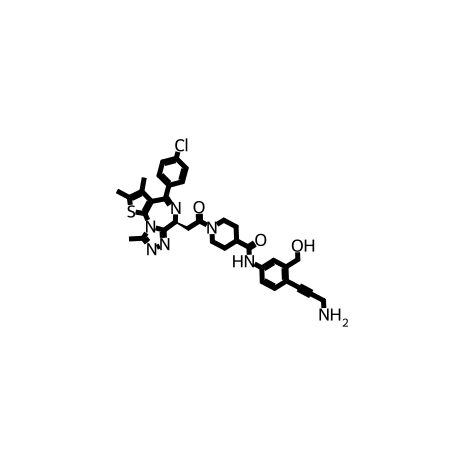 Cc1sc2c(c1C)C(c1ccc(Cl)cc1)=N[C@@H](CC(=O)N1CCC(C(=O)Nc3ccc(C#CCN)c(CO)c3)CC1)c1nnc(C)n1-2